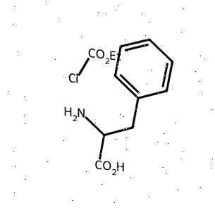 CCOC(=O)Cl.NC(Cc1ccccc1)C(=O)O